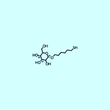 OCC1O[C@H](OCCCCCCS)C(O)[C@@H](O)[C@H]1O